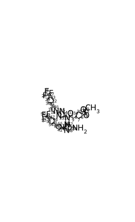 CCS(=O)(=O)c1ccc(CC(=O)Nc2cnc(N3CCC(c4ccc(C(F)(F)F)cc4)C3)nc2)cc1.Nc1cnc(N2CCC(c3ccc(C(F)(F)F)cc3)C2)nc1